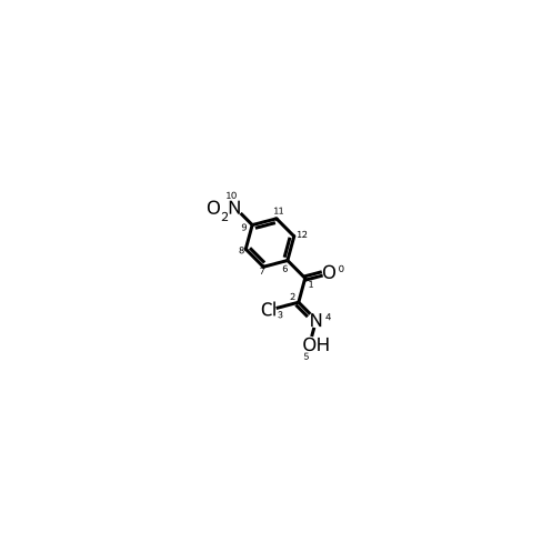 O=C(C(Cl)=NO)c1ccc([N+](=O)[O-])cc1